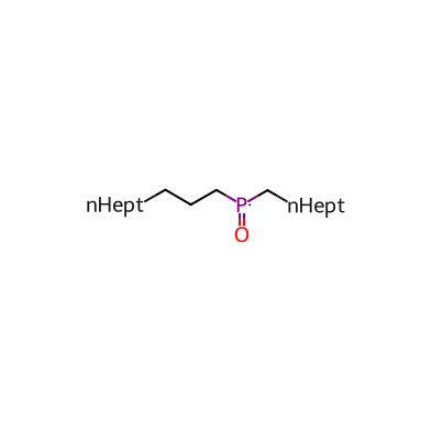 CCCCCCCCCC[P](=O)CCCCCCCC